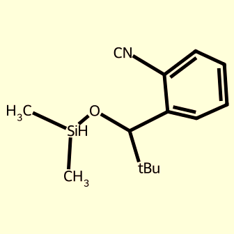 [C-]#[N+]c1ccccc1C(O[SiH](C)C)C(C)(C)C